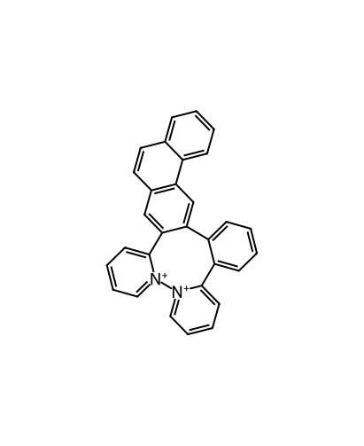 c1ccc2c(c1)-c1cc3c(ccc4ccccc43)cc1-c1cccc[n+]1-[n+]1ccccc1-2